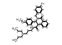 CCCN(CCC)CCCNC(=O)C1c2ccccc2C(=O)N(Cc2ccc(F)cc2)C1c1ccc(OC)cc1